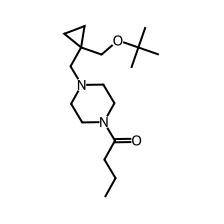 CCCC(=O)N1CCN(CC2(COC(C)(C)C)CC2)CC1